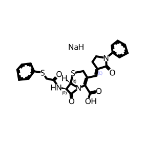 O=C(CSc1ccccc1)N[C@@H]1C(=O)N2C(C(=O)O)=C(/C=C3\CCN(c4ccccc4)C3=O)CS[C@H]12.[NaH]